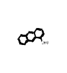 O=Cc1cc[c]c2cc3ccccc3cc12